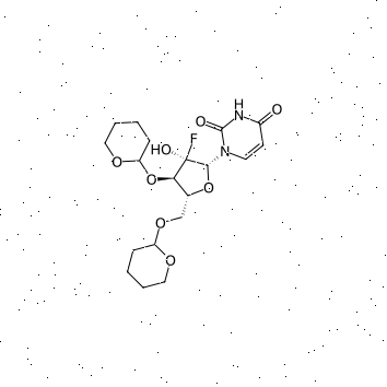 O=c1ccn([C@@H]2O[C@H](COC3CCCCO3)[C@@H](OC3CCCCO3)[C@@]2(O)F)c(=O)[nH]1